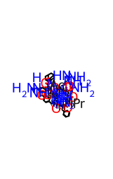 CCOc1ccc(C[C@H](N)C(=O)N[C@@H](Cc2ccccc2)C(=O)N[C@H](C(=O)N[C@@H](CC(N)=O)C(=O)N[C@@H](CCCNC(=N)N)C(=O)N2CCC[C@H]2C(=O)N[C@@H](CCCNC(=N)N)C(=O)N(C(C)=O)C23CC4CC(CC(C4)C2)C3)C(C)C)cc1